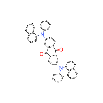 O=C1c2ccc(N(c3ccccc3)c3cccc4ccccc34)cc2C(=O)C2C=CC(N(c3ccccc3)c3cccc4ccccc34)=CC12